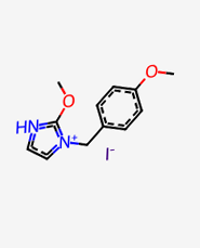 COc1ccc(C[n+]2cc[nH]c2OC)cc1.[I-]